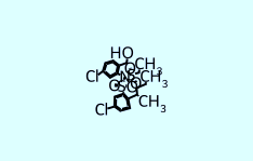 CCC[C@@H](C)c1ccc(Cl)cc1S(=O)(=O)N(c1cc(Cl)ccc1CO)S(=O)(=O)CC